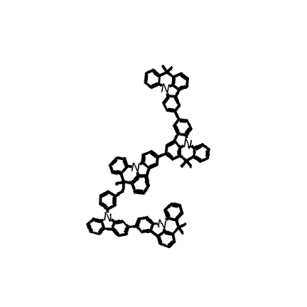 CC1(C)c2ccccc2-n2c3ccc(-c4ccc5c(c4)c4cc(-c6ccc7c(c6)c6cccc8c6n7-c6ccccc6C8(C)Cc6cccc(-n7c8ccccc8c8ccc(-c9ccc%10c(c9)c9cccc%11c9n%10-c9ccccc9C%11(C)C)cc87)c6)cc6c4n5-c4ccccc4C6(C)C)cc3c3cccc1c32